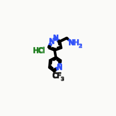 Cl.NCc1cc(-c2ccc(C(F)(F)F)nc2)cnn1